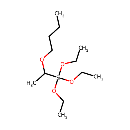 CCCCOC(C)[Si](OCC)(OCC)OCC